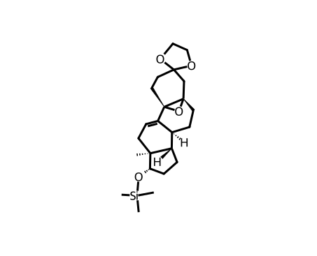 C[C@]12CC=C3[C@@H](CC[C@]45CC6(CC[C@@]34O5)OCCO6)[C@@H]1CC[C@@H]2O[Si](C)(C)C